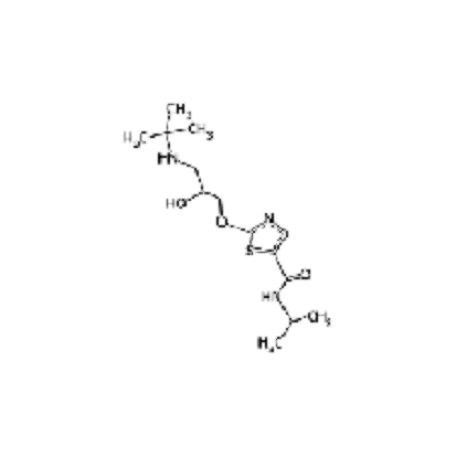 CC(C)NC(=O)c1cnc(OCC(O)CNC(C)(C)C)s1